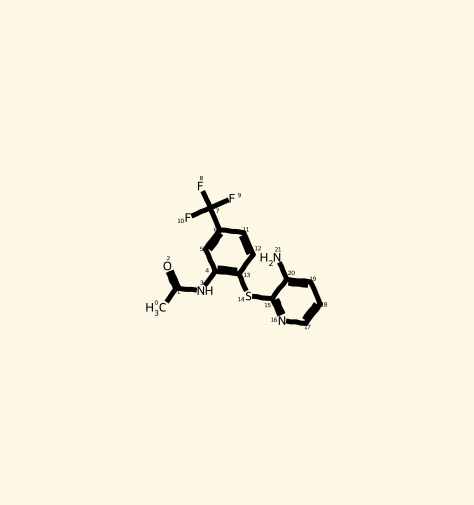 CC(=O)Nc1cc(C(F)(F)F)ccc1Sc1ncccc1N